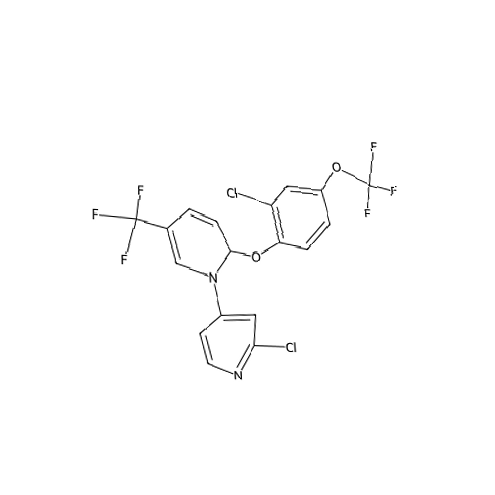 FC(F)(F)Oc1ccc(OC2C=CC(C(F)(F)F)=CN2c2ccnc(Cl)c2)c(Cl)c1